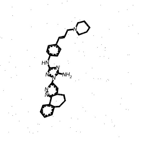 Nc1nc(Nc2ccc(C=CCN3CCCCC3)cc2)nn1-c1cc2c(nn1)-c1ccccc1CCC2